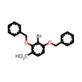 CC(=O)c1c(OCc2ccccc2)ccc(C(=O)O)c1OCc1ccccc1